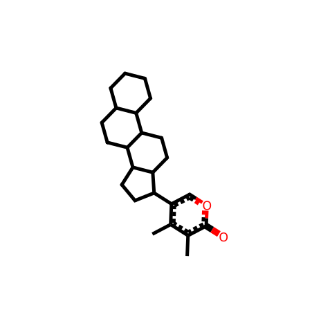 Cc1c(C2CCC3C2CCC2C4CCCCC4CCC23)coc(=O)c1C